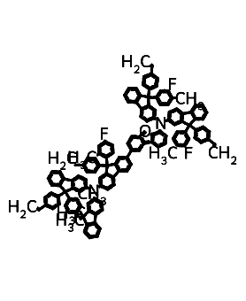 C=Cc1ccc(C2(c3ccc(C)c(F)c3)c3ccccc3-c3ccc(N(c4ccc5c(c4)C(c4ccc(C=C)cc4)(c4ccc(C)c(F)c4)c4ccccc4-5)c4cccc5c4oc4ccc(-c6ccc7c(c6)C(c6ccc(C=C)cc6)(c6ccc(F)cc6C)c6cc(N(c8ccc9c(c8)C(C)(C)c8ccccc8-9)c8ccc9c(c8)C(c8ccc(C=C)cc8)(c8ccc(F)cc8C)c8ccccc8-9)ccc6-7)cc45)cc32)cc1